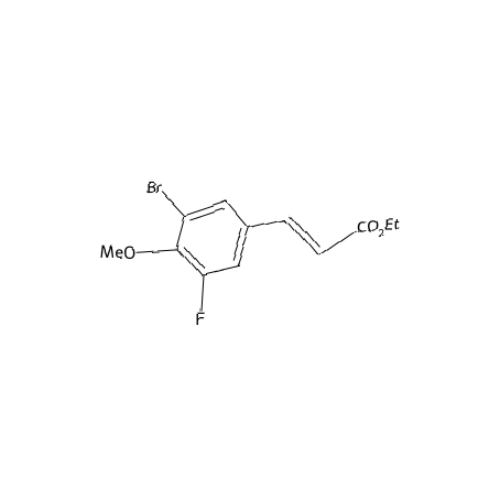 CCOC(=O)C=Cc1cc(F)c(OC)c(Br)c1